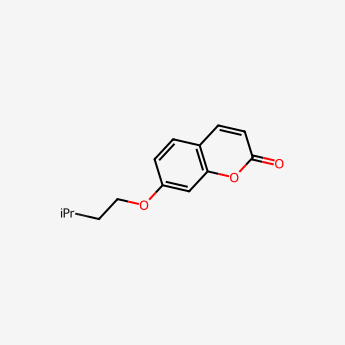 CC(C)CCOc1ccc2ccc(=O)oc2c1